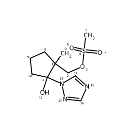 CC1(COS(C)(=O)=O)CCCC1(O)n1cncn1